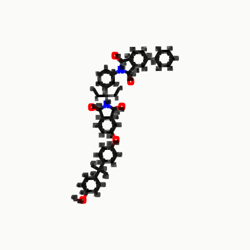 CCC(CC)(c1cccc(N2C(=O)c3ccc(-c4ccccc4)cc3C2=O)c1)N1C(=O)c2ccc(Oc3ccc(C(C)(C)c4ccc(OC)cc4)cc3)cc2C1=O